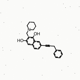 Oc1cc2ccc(C#CCc3ccccc3)cc2c(O)c1CN1CCCCC1